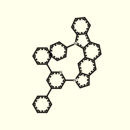 c1ccc(-c2cc(-c3ccccc3)nc(-n3ccc4cc5ccc6c7ccccc7n(-c7ccccc7)c6c5cc43)c2)cc1